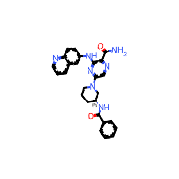 NC(=O)c1ncc(N2CCC[C@@H](NC(=O)c3ccccc3)C2)nc1Nc1ccc2ncccc2c1